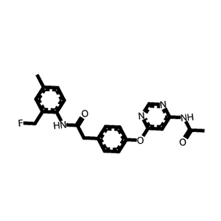 CC(=O)Nc1cc(Oc2ccc(CC(=O)Nc3ccc(C)cc3CF)cc2)ncn1